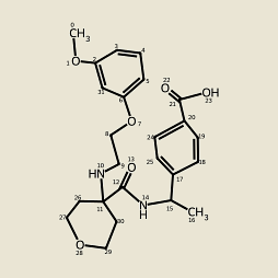 COc1cccc(OCCNC2(C(=O)NC(C)c3ccc(C(=O)O)cc3)CCOCC2)c1